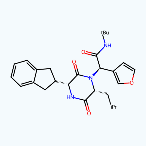 CC(C)C[C@@H]1C(=O)N[C@H](C2Cc3ccccc3C2)C(=O)N1[C@@H](C(=O)NC(C)(C)C)c1ccoc1